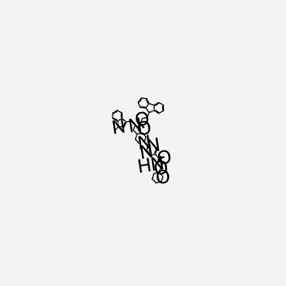 Cn1cc(CN(CC2CCN(c3ncc(C(=O)NOC4CCCCO4)cn3)CC2)C(=O)OCC2c3ccccc3-c3ccccc32)c2ccccc21